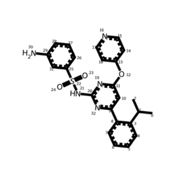 CC(C)c1ccccc1-c1cc(Oc2ccncc2)nc(NS(=O)(=O)c2cccc(N)c2)n1